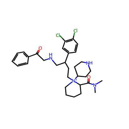 CN(C)C(=O)C1CCCC[N+]1(CCC(CNCC(=O)c1ccccc1)c1ccc(Cl)c(Cl)c1)C1CCNCC1